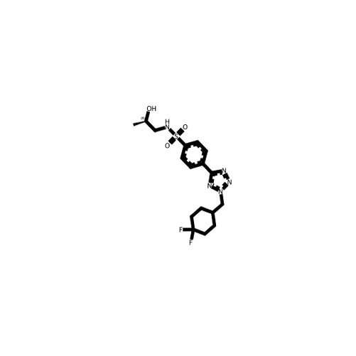 C[C@@H](O)CNS(=O)(=O)c1ccc(-c2nnn(CC3CCC(F)(F)CC3)n2)cc1